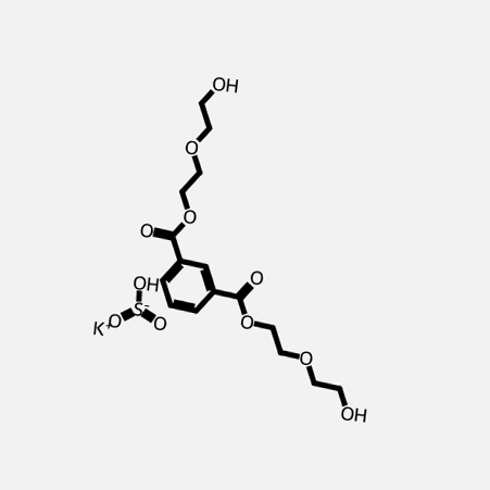 O=C(OCCOCCO)c1cccc(C(=O)OCCOCCO)c1.O=[S-](=O)O.[K+]